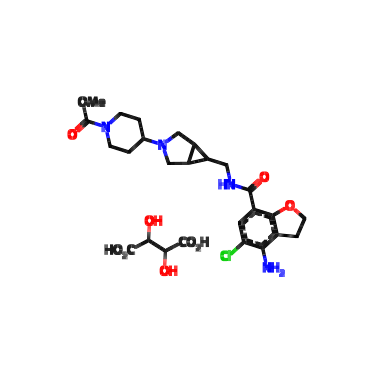 COC(=O)N1CCC(N2CC3C(CNC(=O)c4cc(Cl)c(N)c5c4OCC5)C3C2)CC1.O=C(O)C(O)C(O)C(=O)O